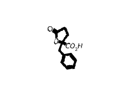 O=C1CCC(Cc2ccccc2)(C(=O)O)O1